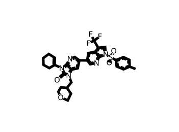 Cc1ccc(S(=O)(=O)n2cc(C(F)(F)F)c3cc(-c4cnc5c(c4)n(CC4CCOCC4)c(=O)n5C4=CCCCC4)cnc32)cc1